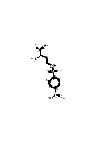 N[C@H](CCNS(=O)(=O)c1ccc([N+](=O)[O-])cc1)C(=O)O